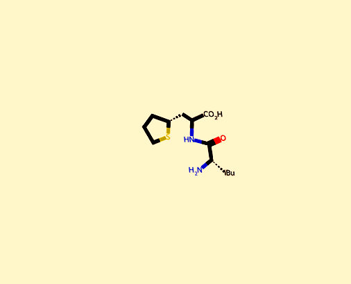 CCC(C)[C@H](N)C(=O)NC(C[C@H]1CCCS1)C(=O)O